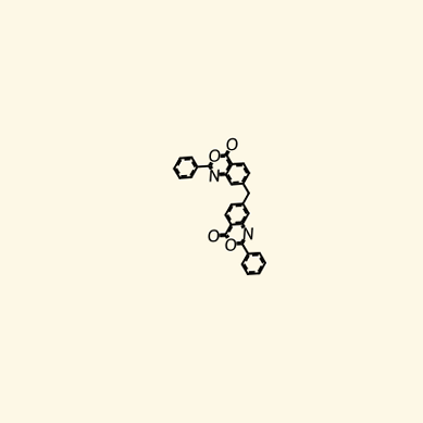 O=c1oc(-c2ccccc2)nc2cc(Cc3ccc4c(=O)oc(-c5ccccc5)nc4c3)ccc12